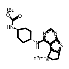 CCC[C@H]1CCc2sc3ncnc(N[C@H]4CC[C@H](NC(=O)OC(C)(C)C)CC4)c3c21